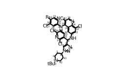 CC(C)(C)N1CCC(n2cc(C(Nc3cc(Cl)c4ncc(C#N)c(Nc5ccc(F)c(Cl)c5)c4c3)c3ccc(Cl)nc3Cl)nn2)CC1